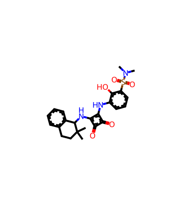 CN(C)S(=O)(=O)c1cccc(Nc2c(NC3c4ccccc4CCC3(C)C)c(=O)c2=O)c1O